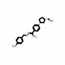 C/C(=N\OCc1ccc([N+](=O)[O-])cc1)c1ccc([C@@H]2CC[C@H](CO)C2)cc1